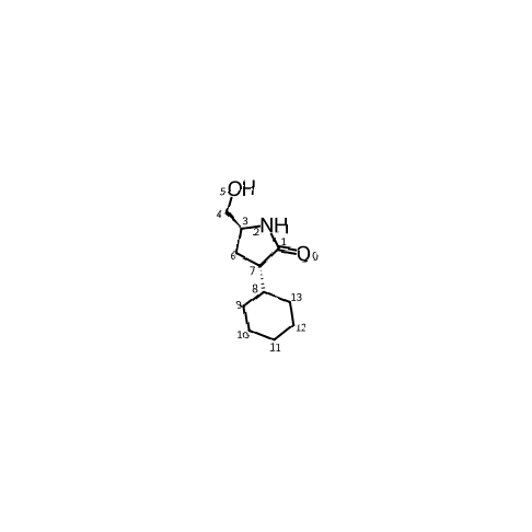 O=C1N[C@H](CO)C[C@H]1C1CCCCC1